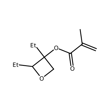 C=C(C)C(=O)OC1(CC)COC1CC